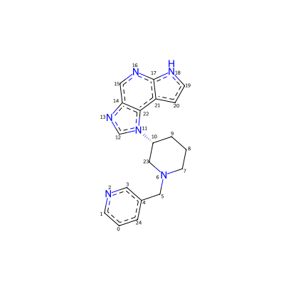 c1cncc(CN2CCC[C@@H](n3cnc4cnc5[nH]ccc5c43)C2)c1